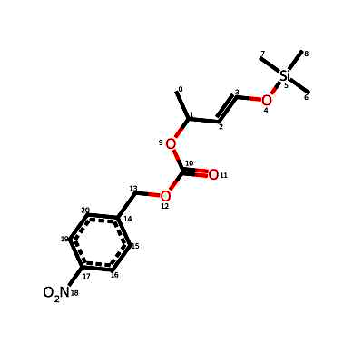 CC(C=CO[Si](C)(C)C)OC(=O)OCc1ccc([N+](=O)[O-])cc1